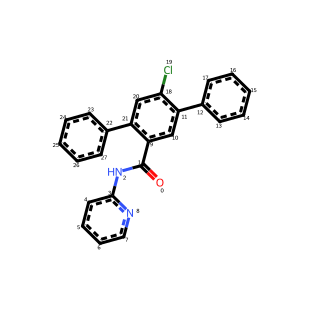 O=C(Nc1ccccn1)c1cc(-c2ccccc2)c(Cl)cc1-c1ccccc1